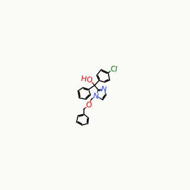 OC(c1ccccc1)(c1ccc(Cl)cc1)c1nccn1COCc1ccccc1